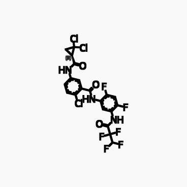 O=C(Nc1cc(NC(=O)C(F)(F)C(F)F)c(F)cc1F)c1cc(NC(=O)[C@H]2CC2(Cl)Cl)ccc1Cl